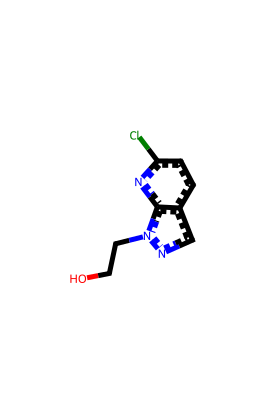 OCCn1ncc2ccc(Cl)nc21